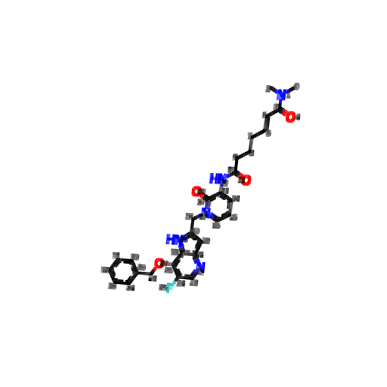 CN(C)C(=O)/C=C/CCCC(=O)Nc1cccn(Cc2cc3ncc(F)c(OCc4ccccc4)c3[nH]2)c1=O